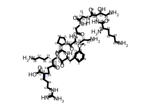 COc1cccc(C[C@H](NC(=O)[C@@H]2CCCN2C(=O)[C@@H](CCCN)NC(=O)CNC(=O)[C@H](C)NC(=O)[C@@H](NC(=O)[C@@H](N)CCCCN)[C@@H](O)CN)C(=O)N[C@@H](CCCCN)C(=O)CC/C(=C\CCNC(=N)N)C(=O)O)c1